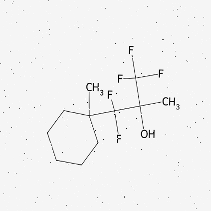 CC1(C(F)(F)C(C)(O)C(F)(F)F)CCCCC1